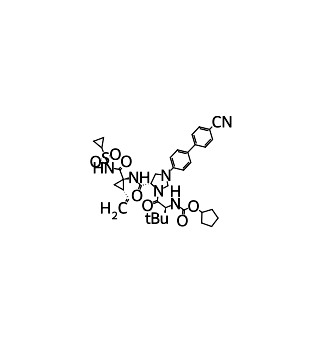 C=C[C@@H]1C[C@]1(NC(=O)[C@@H]1CN(c2ccc(-c3ccc(C#N)cc3)cc2)CN1C(=O)[C@@H](NC(=O)OC1CCCC1)C(C)(C)C)C(=O)NS(=O)(=O)C1CC1